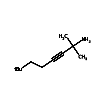 CC(C)(N)C#CCCC(C)(C)C